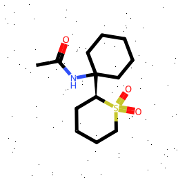 CC(=O)NC1([C@@H]2CCCCS2(=O)=O)CCCCC1